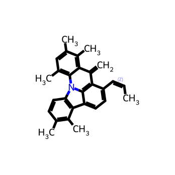 C=c1c2c(C)c(C)cc(C)c2n2c3ccc(C)c(C)c3c3ccc(/C=C\C)c1c32